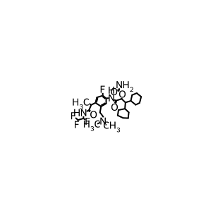 CC(C(=O)NC(F)C(F)F)c1cc(F)c(NC(=O)C(OC(N)=O)C(C2CCCCC2)C2CCCCC2)cc1CCN(C)C